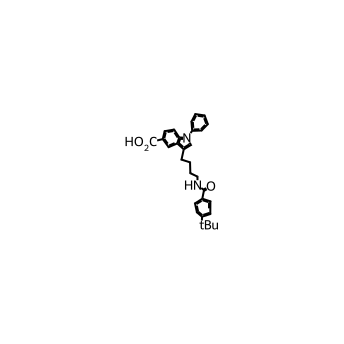 CC(C)(C)c1ccc(C(=O)NCCCCc2cn(-c3ccccc3)c3ccc(C(=O)O)cc23)cc1